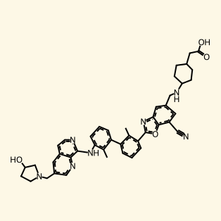 Cc1c(Nc2nccc3cc(CN4CCC(O)C4)cnc23)cccc1-c1cccc(-c2nc3cc(CNC4CCC(CC(=O)O)CC4)cc(C#N)c3o2)c1C